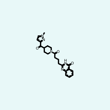 Cn1ccc(C(=O)C2CCN(C(=O)CCCc3nc4ccccc4c(=O)[nH]3)CC2)n1